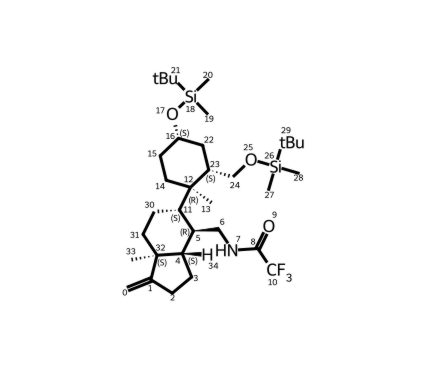 C=C1CC[C@H]2[C@H](CNC(=O)C(F)(F)F)[C@@H]([C@@]3(C)CC[C@H](O[Si](C)(C)C(C)(C)C)C[C@@H]3CO[Si](C)(C)C(C)(C)C)CC[C@]12C